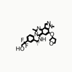 Cc1nc(N[C@H](C)c2cccc(C(F)(F)CO)c2)c2cc(OC3CCOC3)c3c(cnn3C)c2n1